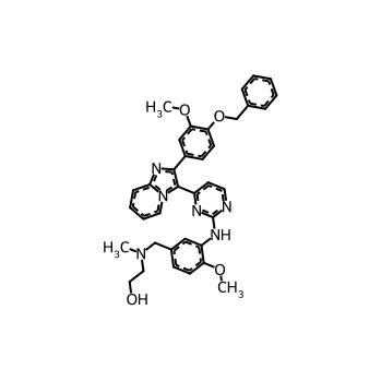 COc1ccc(CN(C)CCO)cc1Nc1nccc(-c2c(-c3ccc(OCc4ccccc4)c(OC)c3)nc3ccccn23)n1